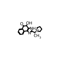 C[C@H](c1nc2c([nH]1)C(O)C(=O)c1ccccc1-2)N1CCCC1